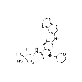 CC(C)(O)[C@H](F)CNC(=O)c1cnc(Nc2ccc3nccnc3c2)cc1NC1CCCOC1